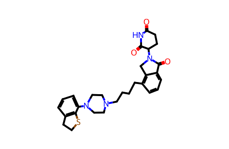 O=C1CCC(N2Cc3c(CCCCN4CCN(c5cccc6c5SCC6)CC4)cccc3C2=O)C(=O)N1